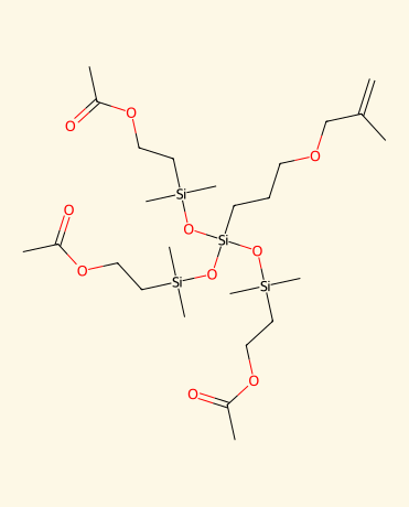 C=C(C)COCCC[Si](O[Si](C)(C)CCOC(C)=O)(O[Si](C)(C)CCOC(C)=O)O[Si](C)(C)CCOC(C)=O